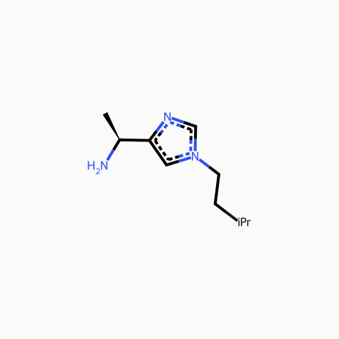 CC(C)CCn1cnc([C@H](C)N)c1